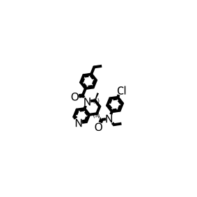 CCc1ccc(C(=O)N2c3ccncc3[C@@H](C(=O)N(CC)c3ccc(Cl)cc3)C[C@@H]2C)cc1